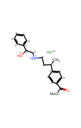 COC(=O)c1ccc([C@H](C)CCNCC(O)c2ccccc2)cc1.Cl